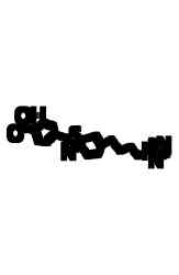 O=C(O)c1ccc(-c2nc3ccc(CCCCn4cncn4)cc3s2)cc1